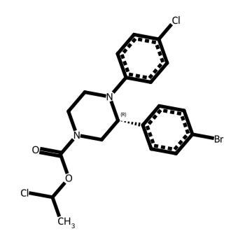 CC(Cl)OC(=O)N1CCN(c2ccc(Cl)cc2)[C@H](c2ccc(Br)cc2)C1